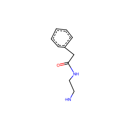 [NH]CCNC(=O)Cc1ccccc1